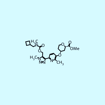 COC(=O)[C@H]1C[C@@H](Oc2ccc(-c3nnn(C)c3COC(=O)N(C)CC3CCC3)nc2C)CCO1